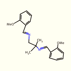 COc1ccccc1/C=N/CC(C)(C)/N=C/c1ccccc1OC